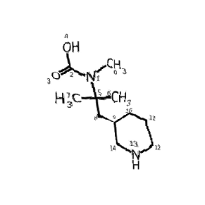 CN(C(=O)O)C(C)(C)C[C@H]1CCCNC1